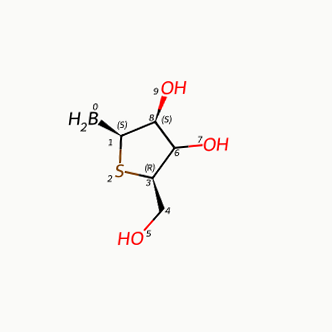 B[C@@H]1S[C@H](CO)C(O)[C@@H]1O